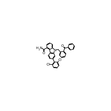 NC(=O)c1cccc2c1c1[c]cc(-c3c(Cl)cccc3Cl)cc1n2Cc1ccccc1C(=O)c1ccccc1